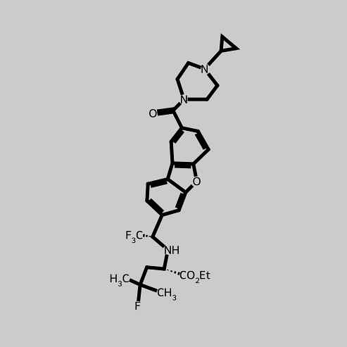 CCOC(=O)[C@H](CC(C)(C)F)N[C@@H](c1ccc2c(c1)oc1ccc(C(=O)N3CCN(C4CC4)CC3)cc12)C(F)(F)F